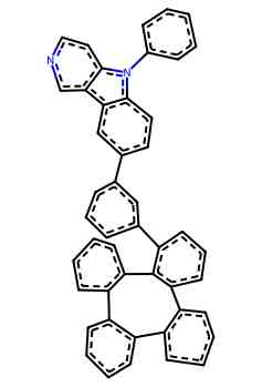 c1ccc(-n2c3ccncc3c3cc(-c4cccc(-c5cccc6c5-c5ccccc5-c5ccccc5-c5ccccc5-6)c4)ccc32)cc1